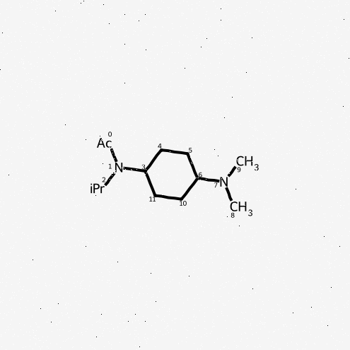 CC(=O)N(C(C)C)C1CCC(N(C)C)CC1